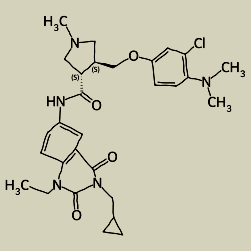 CCn1c(=O)n(CC2CC2)c(=O)c2cc(NC(=O)[C@@H]3CN(C)C[C@H]3COc3ccc(N(C)C)c(Cl)c3)ccc21